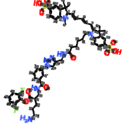 C[N+]1=C(/C=C/C=C/C=C2\N(CCCCCC(=O)NCc3cn(-c4cccc(C(=O)NCC(CCCN)C(=O)Oc5c(F)cccc5F)c4)nn3)c3ccc(S(=O)(=O)O)cc3C2(C)C)C(C)(C)c2cc(S(=O)(=O)O)ccc21